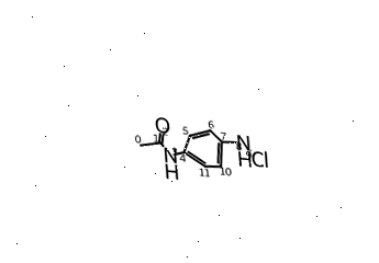 CC(=O)Nc1ccc(NCl)cc1